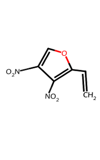 C=Cc1occ([N+](=O)[O-])c1[N+](=O)[O-]